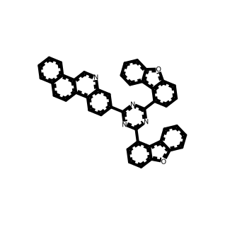 c1ccc2c(c1)ccc1c3ccc(-c4nc(-c5cccc6oc7ccccc7c56)nc(-c5cccc6oc7ccccc7c56)n4)cc3ncc21